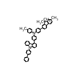 Cc1ccc(N(c2ccc(-c3ccc4c(c3)C(C)(C)c3cc(C)ccc3-4)cc2)c2ccc(-c3cccc4c3c3ccccc3n4-c3ccc(-c4ccccc4)cc3)cc2)cc1